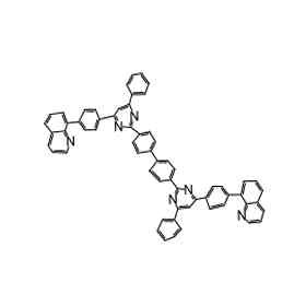 c1ccc(-c2cc(-c3ccc(-c4cccc5cccnc45)cc3)nc(-c3ccc(-c4ccc(-c5nc(-c6ccccc6)cc(-c6ccc(-c7cccc8cccnc78)cc6)n5)cc4)cc3)n2)cc1